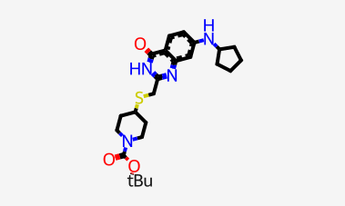 CC(C)(C)OC(=O)N1CCC(SCc2nc3cc(NC4CCCC4)ccc3c(=O)[nH]2)CC1